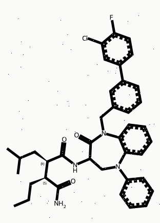 CCC[C@H](C(N)=O)[C@@H](CC(C)C)C(=O)NC1CN(c2ccccc2)c2ccccc2N(Cc2cccc(-c3ccc(F)c(Cl)c3)c2)C1=O